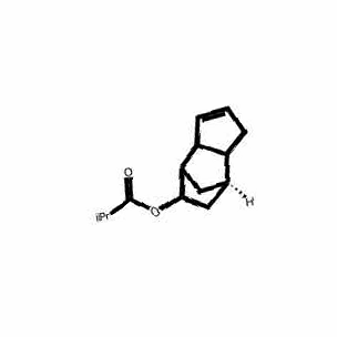 CC(C)C(=O)OC1C[C@H]2CC1C1C=CCC12